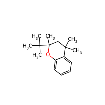 CC1(C)CC(C)(C(C)(C)C)Oc2ccccc21